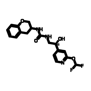 O=C(NC[C@@H](O)c1ccnc(OC(F)F)c1)NC1COc2ccccc2C1